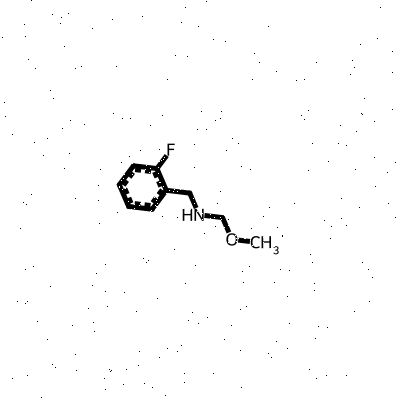 COCNCc1ccccc1F